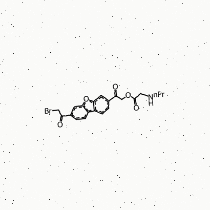 CCCNCC(=O)OCC(=O)c1ccc2c(c1)oc1cc(C(=O)CBr)ccc12